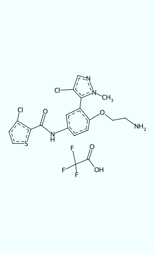 Cn1ncc(Cl)c1-c1cc(NC(=O)c2sccc2Cl)ccc1OCCN.O=C(O)C(F)(F)F